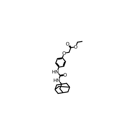 CCOC(=O)COc1ccc(NC(=O)NC23CC4CC(CC(C4)C2)C3)cc1